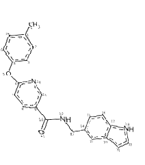 Cc1ccc(Oc2ccc(C(=O)NCc3ccc4[nH]ccc4c3)cn2)cc1